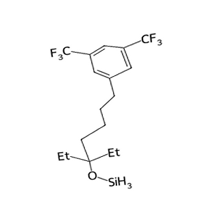 CCC(CC)(CCCCc1cc(C(F)(F)F)cc(C(F)(F)F)c1)O[SiH3]